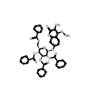 CCCCOc1c(OC(C)=O)c(=O)oc2cc(O[C@@H]3O[C@H](COC(=O)c4ccccc4)[C@@H](OC(=O)c4ccccc4)[C@H](OC(=O)c4ccccc4)[C@H]3OC(=O)c3ccccc3)ccc12